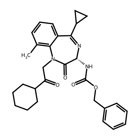 Cc1cccc2c1N(CC(=O)C1CCCCC1)C(=O)[C@@H](NC(=O)OCc1ccccc1)N=C2C1CC1